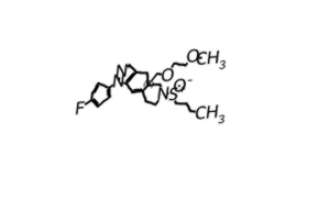 CCCC[S+]([O-])N1CCC2=Cc3c(cnn3-c3ccc(F)cc3)C[C@]2(COCCOC)C1